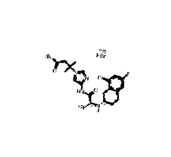 Br.Br.CCC[C@H](N[C@H]1CCc2cc(F)cc(Cl)c2C1)C(=O)Nc1cn(C(C)(C)CC(=O)C(C)(C)C)cn1